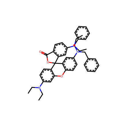 CCN(CC)c1ccc2c(c1)Oc1ccc(N(Cc3ccccc3)Cc3ccccc3)cc1C21OC(=O)c2ccc(N(CC)CC)cc21